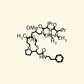 C=CCSC(CC(=O)NCCc1ccccc1)C1CCCN1CCC(C)C(=O)CC(CN(C)C(=O)C(NC(=O)C(C(C)C)N(C)C)C(C)C)OC